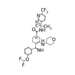 CC(C)(NC(=O)[C@@H]1CCC(C(=N)c2cccc(OC(F)F)c2)=C(NC2CCOCC2)C1)c1ccc(C(F)(F)F)nc1